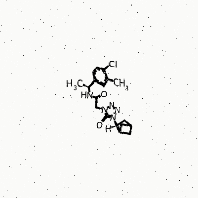 Cc1cc([C@H](C)NC(=O)Cn2nnn([C@@H]3CC4CC3C4)c2=O)ccc1Cl